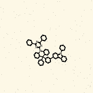 c1ccc(-c2nc(-c3ccccc3)nc(N3c4ccccc4C(c4ccccc4)(c4cccc(-c5ccc6c(c5)c5ccccc5n6-c5ccccc5)c4)c4ccccc43)n2)cc1